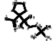 CC(C)(C)[SiH2]OC(C)(C)C1(C(=O)O)CCNC1